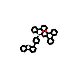 c1ccc(-c2ccccc2N(c2ccc(-c3cccc4c3sc3ccccc34)cc2)c2ccc3c4ccccc4c4ccccc4c3c2)cc1